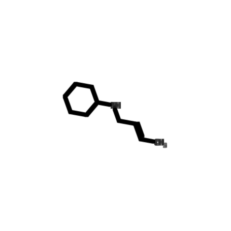 CC=CCNC1CCCCC1